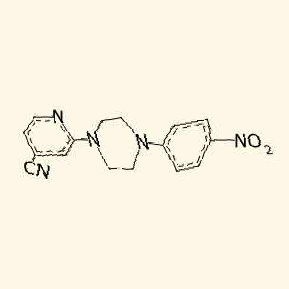 N#Cc1ccnc(N2CCN(c3ccc([N+](=O)[O-])cc3)CC2)c1